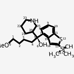 COCCCC[C@@](O)(c1cccc2sc([Si](C)(C)C)cc12)C1CCCNC1